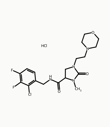 CN1C(=O)N(CCN2CCOCC2)CC1C(=O)NCc1ccc(F)c(F)c1Cl.Cl